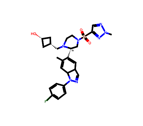 CC1=CC2C(C=NN2c2ccc(F)cc2)C=C1[C@H]1CN(S(=O)(=O)c2cnn(C)n2)CCN1C[C@H]1C[C@@H](O)C1